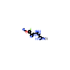 CCNCC1=CC(c2cnc3[nH]nc(-c4cc5c(-c6cc(F)cc(OCCN(C)C)c6)cncc5[nH]4)c3c2)=CNC=C1